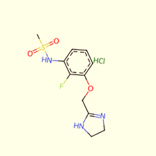 CS(=O)(=O)Nc1cccc(OCC2=NCCN2)c1F.Cl